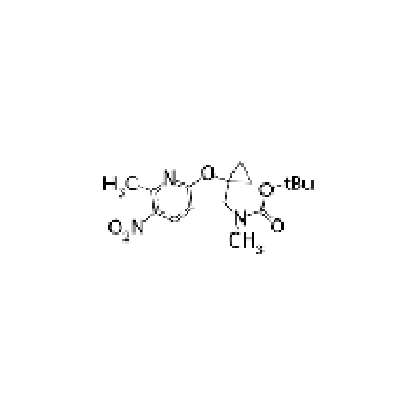 Cc1nc(OC2(CN(C)C(=O)OC(C)(C)C)CC2)ccc1[N+](=O)[O-]